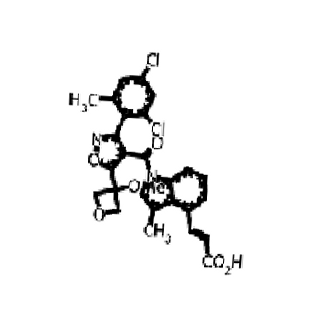 COC1(c2onc(-c3c(C)cc(Cl)cc3Cl)c2C(=O)n2cc(C)c3c(/C=C/C(=O)O)cccc32)COC1